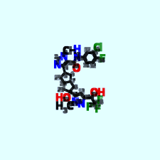 Cn1cnc(C2CC3CC(O)(c4cc(C(O)C(F)(F)F)nn4C)CC3C2)c1C(=O)Nc1ccc(F)c(Cl)c1